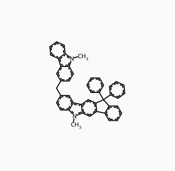 Cn1c2ccccc2c2cc(Cc3ccc4c(c3)c3cc5c(cc3n4C)-c3ccccc3C5(c3ccccc3)c3ccccc3)ccc21